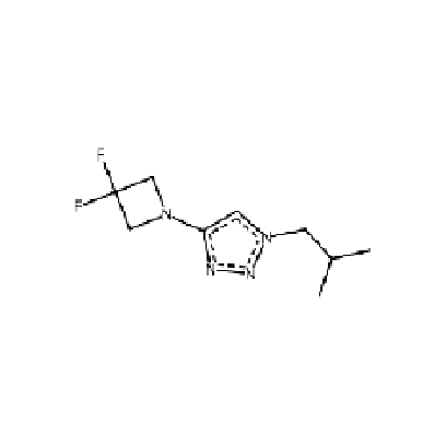 CC(C)Cn1cc(N2CC(F)(F)C2)nn1